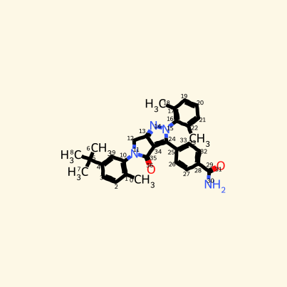 Cc1ccc(C(C)(C)C)cc1N1Cc2nn(-c3c(C)cccc3C)c(-c3ccc(C(N)=O)cc3)c2C1=O